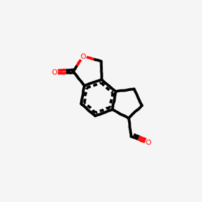 O=CC1CCc2c1ccc1c2COC1=O